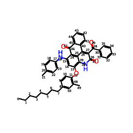 CCCCCCCCc1ccc(Oc2cc(Nc3ccc(C)cc3)c3c4c(c(C(=O)c5ccccc5)c(=O)[nH]c24)-c2ccccc2C3=O)c(C)c1